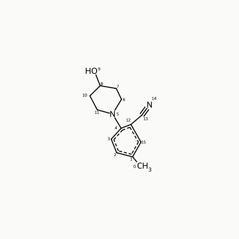 Cc1ccc(N2CCC(O)CC2)c(C#N)c1